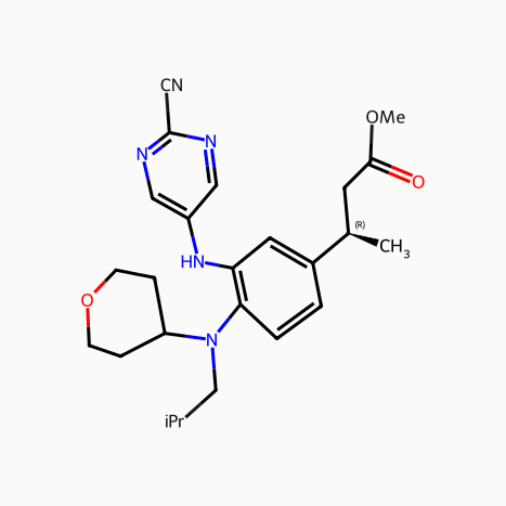 COC(=O)C[C@@H](C)c1ccc(N(CC(C)C)C2CCOCC2)c(Nc2cnc(C#N)nc2)c1